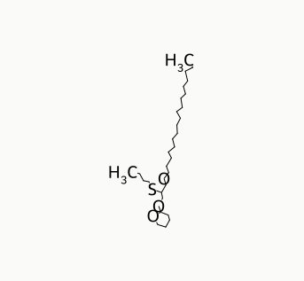 CCCCCCCCCCCCCCCCCCOCC(COC1CCCCO1)SCCCC